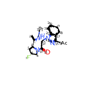 C=C(NC(C)C)[C@@H]1C[C@@H](F)CN1C(=O)Cn1nc(C(C)=O)c2ccccc21